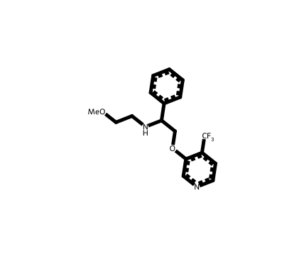 COCCNC(COc1cnccc1C(F)(F)F)c1ccccc1